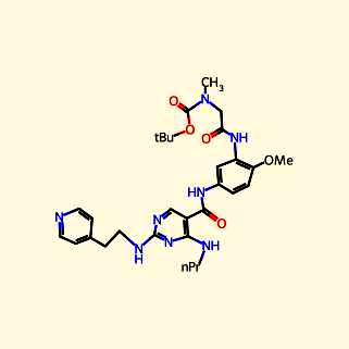 CCCNc1nc(NCCc2ccncc2)ncc1C(=O)Nc1ccc(OC)c(NC(=O)CN(C)C(=O)OC(C)(C)C)c1